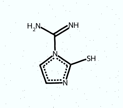 N=C(N)n1ccnc1S